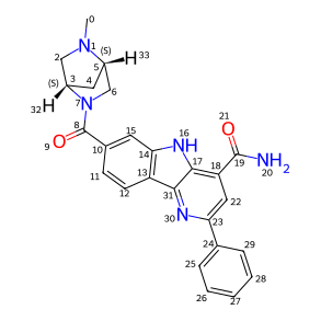 CN1C[C@@H]2C[C@H]1CN2C(=O)c1ccc2c(c1)[nH]c1c(C(N)=O)cc(-c3ccccc3)nc12